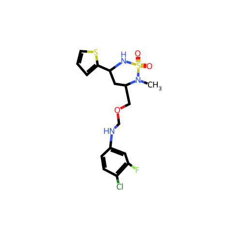 CN1C(COCNc2ccc(Cl)c(F)c2)CC(c2cccs2)NS1(=O)=O